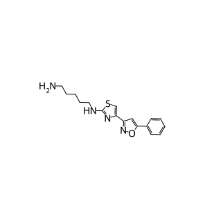 NCCCCCNc1nc(-c2cc(-c3ccccc3)on2)cs1